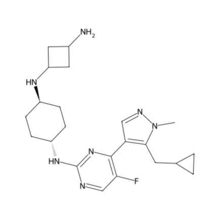 Cn1ncc(-c2nc(N[C@H]3CC[C@H](NC4CC(N)C4)CC3)ncc2F)c1CC1CC1